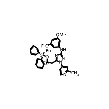 CC[C@H](Cc1nc(Nc2cc(OC)cc(C(F)(F)F)c2)nn1-c1ccnc(C)c1)O[Si](c1ccccc1)(c1ccccc1)C(C)(C)C